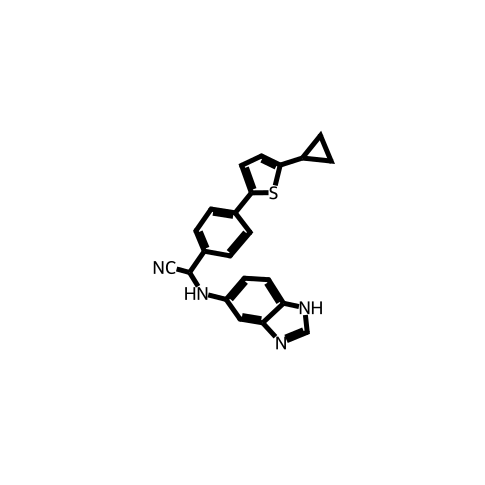 N#CC(Nc1ccc2[nH]cnc2c1)c1ccc(-c2ccc(C3CC3)s2)cc1